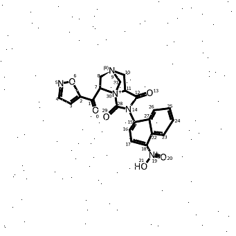 O=C(c1ccno1)C1C[N@@]2CC3C(=O)N(c4ccc([N+](=O)O)c5ccccc45)C(=O)[N+]13C2